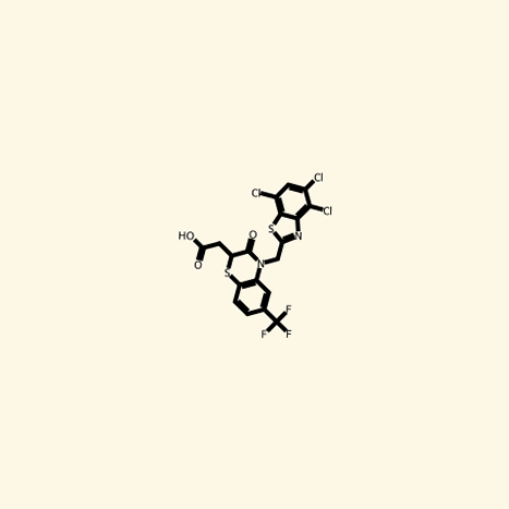 O=C(O)CC1Sc2ccc(C(F)(F)F)cc2N(Cc2nc3c(Cl)c(Cl)cc(Cl)c3s2)C1=O